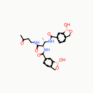 CC(=O)CCNC(=O)[C@@H](NC(=O)c1ccc2c(c1)B(O)OC2)[C@H](C)NC(=O)c1ccc2c(c1)B(O)OC2